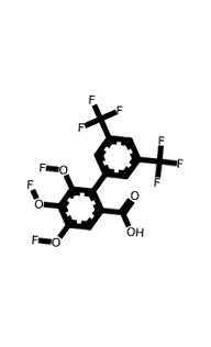 O=C(O)c1cc(OF)c(OF)c(OF)c1-c1cc(C(F)(F)F)cc(C(F)(F)F)c1